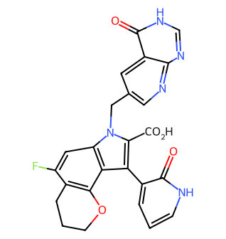 O=C(O)c1c(-c2ccc[nH]c2=O)c2c3c(c(F)cc2n1Cc1cnc2nc[nH]c(=O)c2c1)CCCO3